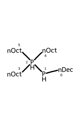 CCCCCCCCCCP[PH](CCCCCCCC)(CCCCCCCC)CCCCCCCC